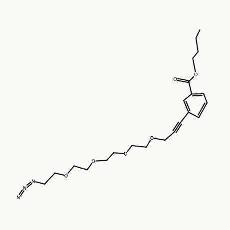 CCCCOC(=O)c1cccc(C#CCOCCOCCOCCOCCN=[N+]=[N-])c1